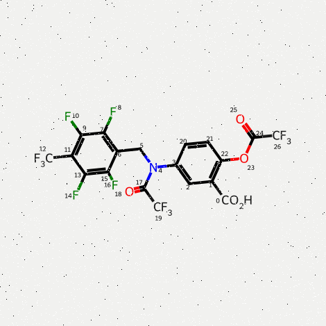 O=C(O)c1cc(N(Cc2c(F)c(F)c(C(F)(F)F)c(F)c2F)C(=O)C(F)(F)F)ccc1OC(=O)C(F)(F)F